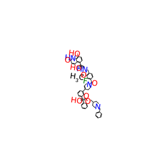 COc1c(CNC[C@H](O)c2ccc(O)c3[nH]c(=O)ccc23)ccc(C(=O)N2CC=C(c3cccc([C@](O)(C(=O)OCC4CCN(Cc5ccccc5)CC4)c4ccccc4)c3)CC2)c1F